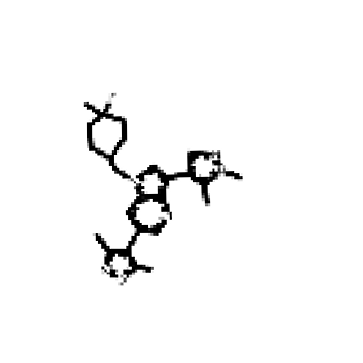 Cc1noc(C)c1-c1cnc2c(-c3cnn(C)c3C)cn(CC3CCC(C)(F)CC3)c2c1